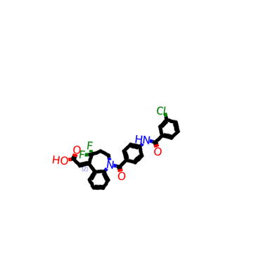 O=C(O)/C=C1/c2ccccc2N(C(=O)c2ccc(NC(=O)c3cccc(Cl)c3)cc2)CCC1(F)F